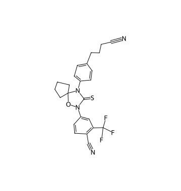 N#CCCCc1ccc(N2C(=S)N(c3ccc(C#N)c(C(F)(F)F)c3)OC23CCCC3)cc1